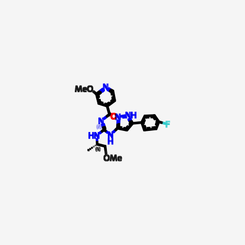 COC[C@H](C)N/C(=N/C(=O)c1ccnc(OC)c1)Nc1cc(-c2ccc(F)cc2)[nH]n1